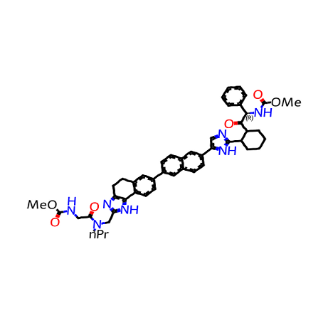 CCCN(Cc1nc2c([nH]1)-c1ccc(-c3ccc4cc(-c5cnc(C6CCCCC6C(=O)[C@H](NC(=O)OC)c6ccccc6)[nH]5)ccc4c3)cc1CC2)C(=O)CNC(=O)OC